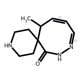 CC1/C=C\C=N/NC(=O)C12CCNCC2